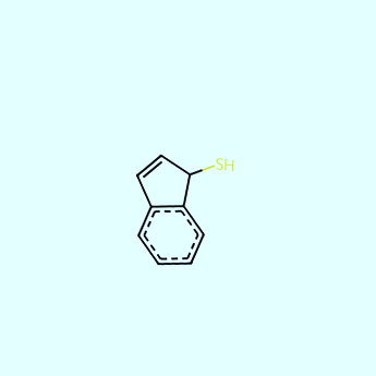 SC1C=Cc2ccccc21